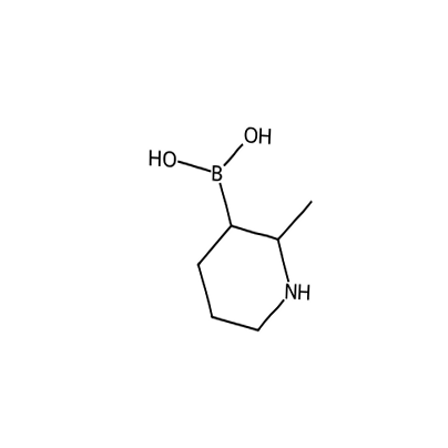 CC1NCCCC1B(O)O